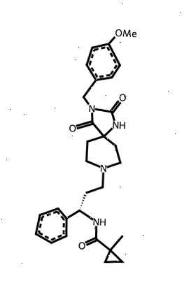 COc1ccc(CN2C(=O)NC3(CCN(CC[C@H](NC(=O)C4(C)CC4)c4ccccc4)CC3)C2=O)cc1